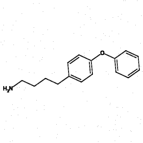 NCCCCc1ccc(Oc2ccccc2)cc1